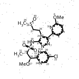 COc1cccc(-c2nnc(NS(=O)(=O)[C@@H](C)[C@H](OC)c3ncc(Cl)cn3)n2CC[S@+](C)[O-])n1